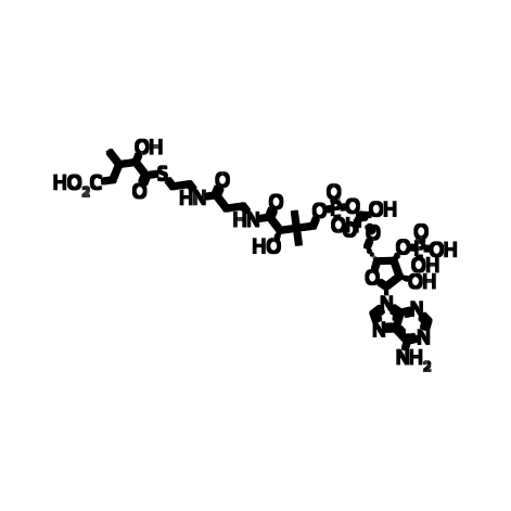 CC(CC(=O)O)C(O)C(=O)SCCNC(=O)CCNC(=O)[C@H](O)C(C)(C)COP(=O)(O)OP(=O)(O)OC[C@H]1O[C@@H](n2cnc3c(N)ncnc32)[C@H](O)[C@@H]1OP(=O)(O)O